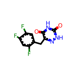 O=c1[nH]nc(Cc2cc(F)c(F)cc2F)c(=O)[nH]1